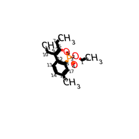 CCOP1(=O)OC(CC)=C(CC)c2ccc(C)cc21